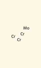 [Cr].[Cr].[Cr].[Mo]